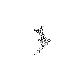 CCCCC[C@H]1CC[C@H]([C@H]2CC[C@H](C(=O)Oc3ccc(-c4ccccc4C(=O)Oc4c(OC(C)=O)c(C(=O)OC)cc5c6c(ccc45)OC(c4ccc(OC)cc4)(c4ccc(OC)cc4OC)C=C6)cc3)CC2)CC1